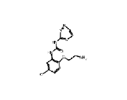 NCCOc1ccc(Cl)cc1NC(=O)Nc1nccnn1